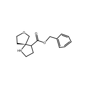 O=C(OCc1ccccc1)C1CCN[C@@]12CCOC2